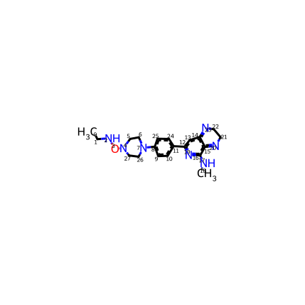 CCNON1CCN(c2ccc(-c3cc4c(c(NC)n3)=NCCN=4)cc2)CC1